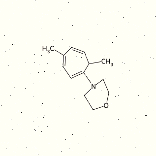 CC1=CC=C(N2CCOCC2)C(C)C=C1